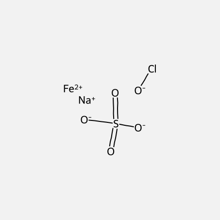 O=S(=O)([O-])[O-].[Fe+2].[Na+].[O-]Cl